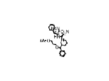 COCCCOC(c1ccccc1)C1CCCN(C(=C[N+](=O)[O-])N[C@H](CN)CC2CCCCC2)C1